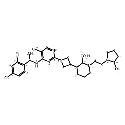 C[C@@H](Nc1nc(N2CC(C3CCCN(CCN4CCCC4O)C3C(=O)O)C2)ncc1Cl)c1ccc(Cl)cc1Cl